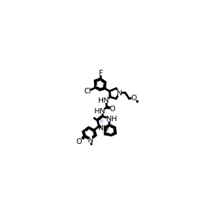 COCCN1CC(c2cc(F)cc(Cl)c2)[C@H](NC(=O)N/C(Nc2ccccc2)=C(\C)C(=N)c2ccc(=O)n(C)c2)C1